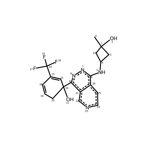 CC1(O)CC(Nc2nnc(C3(O)C=C(C(F)(F)F)C=CC3)c3cnccc23)C1